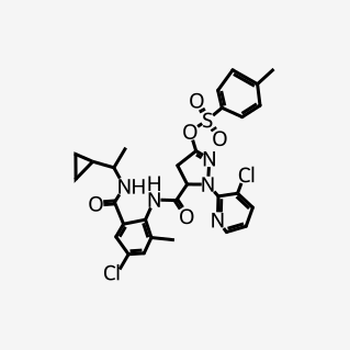 Cc1ccc(S(=O)(=O)OC2=NN(c3ncccc3Cl)C(C(=O)Nc3c(C)cc(Cl)cc3C(=O)NC(C)C3CC3)C2)cc1